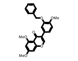 COc1cc(OC)c2c(=O)c(-c3ccc(OC)c(OCc4ccccc4)c3)coc2c1